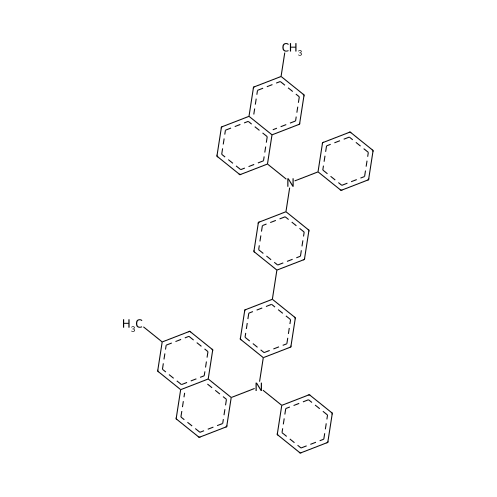 Cc1ccc2c(N(c3ccccc3)c3ccc(-c4ccc(N(c5ccccc5)c5cccc6cc(C)ccc56)cc4)cc3)cccc2c1